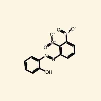 O=[N+]([O-])c1cccc(N=Nc2ccccc2O)c1[N+](=O)[O-]